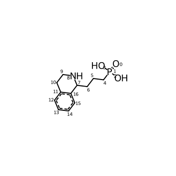 O=P(O)(O)CCCC1NCCc2ccccc21